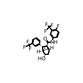 O=C(Nc1ccc(F)c(C(F)(F)F)c1)[C@@H]1[C@@H](c2cccc(C(F)(F)F)c2)[C@H]2O[C@@H]1C[C@@H]2O